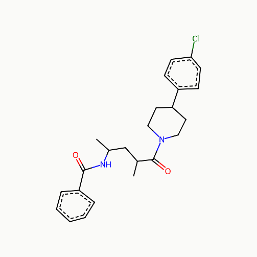 CC(CC(C)C(=O)N1CCC(c2ccc(Cl)cc2)CC1)NC(=O)c1ccccc1